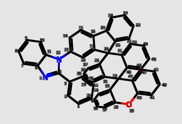 c1ccc(-c2nc3ccccc3n2-c2ccc3c(c2)C2(c4ccccc4-3)c3ccccc3C3(c4ccccc4Oc4ccccc43)c3ccccc32)cc1